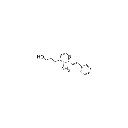 Nc1c(CCCO)ccnc1C=Cc1ccccc1